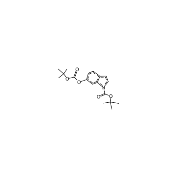 CC(C)(C)OC(=O)Oc1ccc2ccn(C(=O)OC(C)(C)C)c2c1